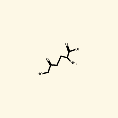 NC(CCC(=O)CO)C(=O)O